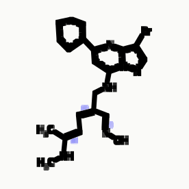 CN/C(C)=C/C=C(\C=N\O)CNc1cc(-c2ccccc2)nc2c(Br)cnn12